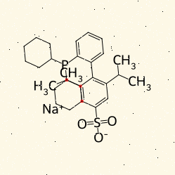 CC(C)c1cc(S(=O)(=O)[O-])cc(C(C)C)c1-c1ccccc1P(C1CCCCC1)C1CCCCC1.[Na+]